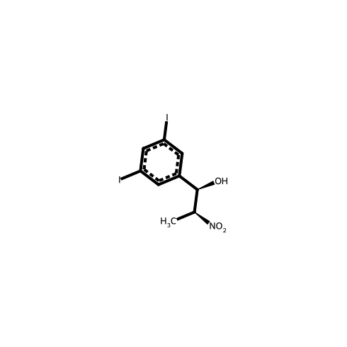 C[C@@H]([C@H](O)c1cc(I)cc(I)c1)[N+](=O)[O-]